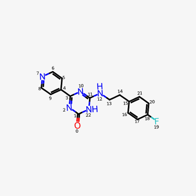 O=c1nc(-c2ccncc2)nc(NCCc2ccc(F)cc2)[nH]1